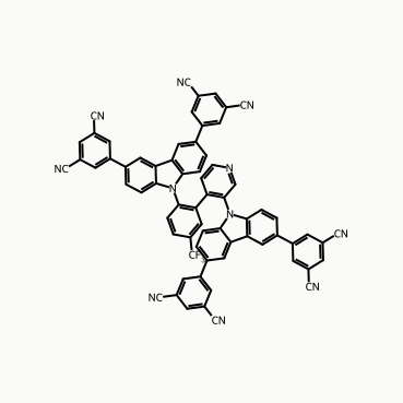 N#Cc1cc(C#N)cc(-c2ccc3c(c2)c2cc(-c4cc(C#N)cc(C#N)c4)ccc2n3-c2ccc(C(F)(F)F)cc2-c2ccncc2-n2c3ccc(-c4cc(C#N)cc(C#N)c4)cc3c3cc(-c4cc(C#N)cc(C#N)c4)ccc32)c1